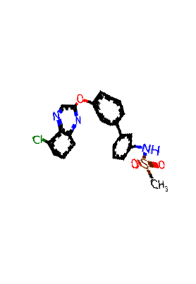 CS(=O)(=O)Nc1cccc(-c2cccc(Oc3cnc4c(Cl)cccc4n3)c2)c1